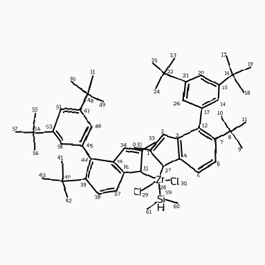 CC1=Cc2c(ccc(C(C)(C)C)c2-c2cc(C(C)(C)C)cc(C(C)(C)C)c2)[CH]1[Zr]([Cl])([Cl])([CH]1C(C)=Cc2c1ccc(C(C)(C)C)c2-c1cc(C(C)(C)C)cc(C(C)(C)C)c1)[SiH](C)C